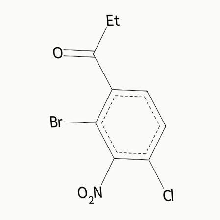 CCC(=O)c1ccc(Cl)c([N+](=O)[O-])c1Br